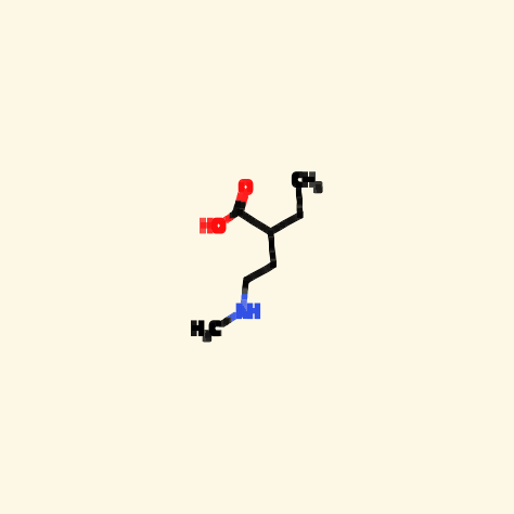 CCC(CCNC)C(=O)O